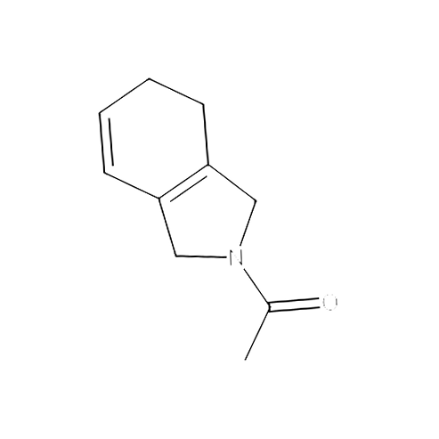 CC(=O)N1CC2=C(CCC=C2)C1